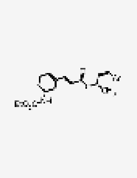 CCOC(=O)N[C@@H]1CCC=C(/C=C/C(=O)O[C@H](C)/C=C\C(C)=O)C1